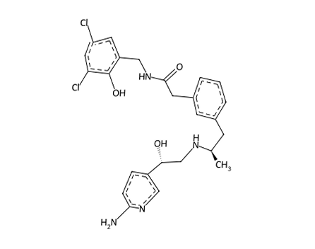 C[C@H](Cc1cccc(CC(=O)NCc2cc(Cl)cc(Cl)c2O)c1)NC[C@@H](O)c1ccc(N)nc1